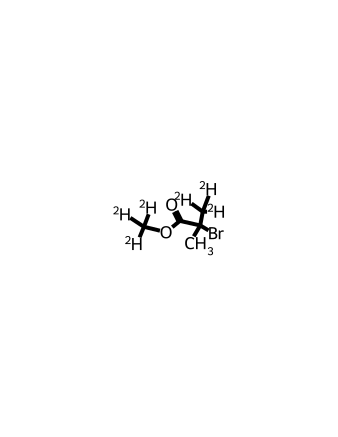 [2H]C([2H])([2H])OC(=O)C(C)(Br)C([2H])([2H])[2H]